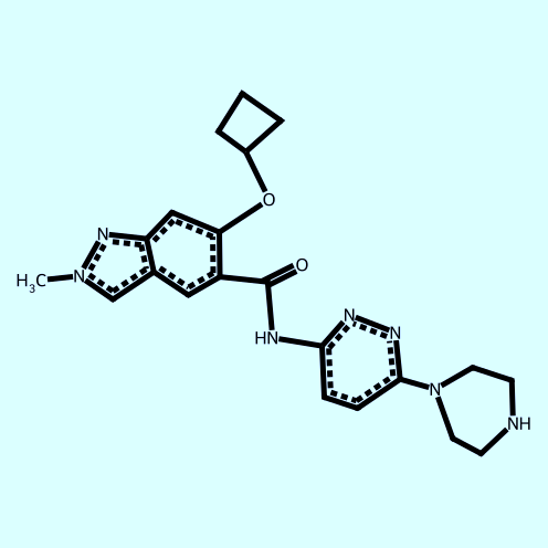 Cn1cc2cc(C(=O)Nc3ccc(N4CCNCC4)nn3)c(OC3CCC3)cc2n1